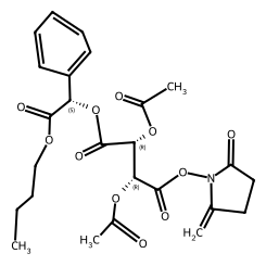 C=C1CCC(=O)N1OC(=O)[C@H](OC(C)=O)[C@@H](OC(C)=O)C(=O)O[C@H](C(=O)OCCCC)c1ccccc1